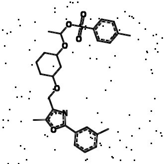 Cc1ccc(S(=O)(=O)OC(C)OC2CCCC(OCc3nc(-c4cccc(C)c4)oc3C)C2)cc1